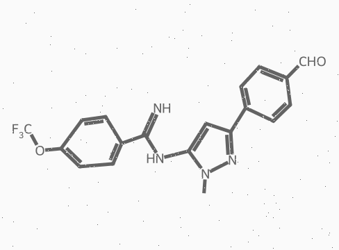 Cn1nc(-c2ccc(C=O)cc2)cc1NC(=N)c1ccc(OC(F)(F)F)cc1